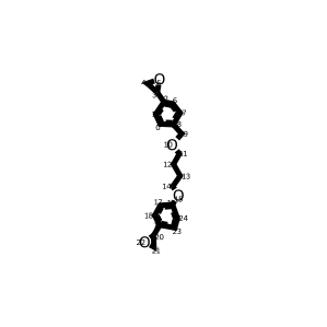 c1cc(C2CO2)ccc1COCCCCOc1ccc(C2CO2)cc1